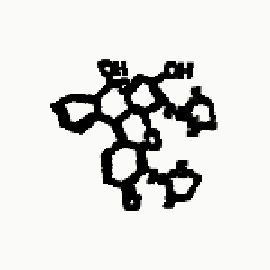 O=C(O)c1ccccc1-c1c2ccc(=O)c([As]3SCCS3)c-2oc2c([As]3SCCS3)c(O)ccc12